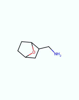 NCC1CC2CCC1O2